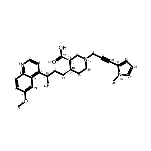 COc1ccc2nccc([C@H](F)CC[C@@H]3CCN(CC#Cc4cccn4C)C[C@@H]3C(=O)O)c2c1